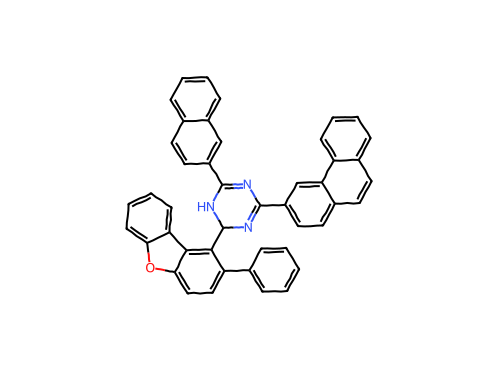 c1ccc(-c2ccc3oc4ccccc4c3c2C2N=C(c3ccc4ccc5ccccc5c4c3)N=C(c3ccc4ccccc4c3)N2)cc1